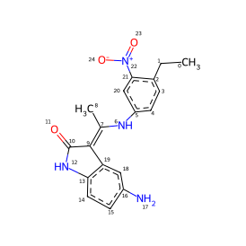 CCc1ccc(NC(C)=C2C(=O)Nc3ccc(N)cc32)cc1[N+](=O)[O-]